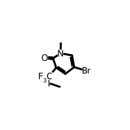 CI.Cn1cc(Br)cc(C(F)(F)F)c1=O